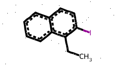 C[CH]c1c(I)ccc2ccccc12